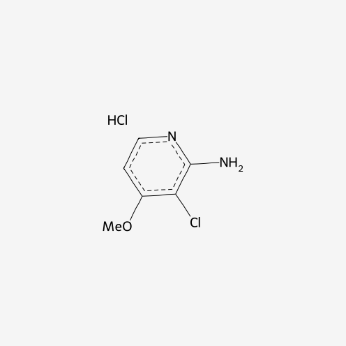 COc1ccnc(N)c1Cl.Cl